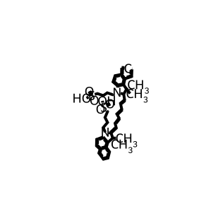 CC1(C)C(=CC=CC=CC=CC2N(CCCCS(=O)(=O)O)c3ccc4ccccc4c3C2(C)C)N(CCCCS(=O)(=O)O)c2ccc3ccccc3c21